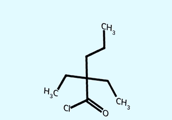 CCCC(CC)(CC)C(=O)Cl